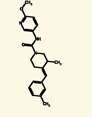 COc1ccc(NC(=O)N2CCC(=Cc3cccc(C)c3)C(C)C2)cn1